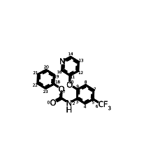 O=C(Nc1cc(C(F)(F)F)ccc1Oc1cccnc1)Oc1ccccc1